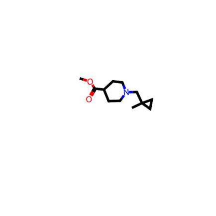 COC(=O)C1CCN(CC2(C)CC2)CC1